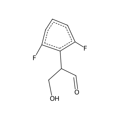 O=CC(CO)c1c(F)cccc1F